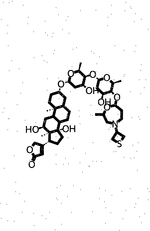 CC1CN(C2CSC2)CCC(O[C@@H]2[C@H](C)O[C@@H](O[C@@H]3[C@H](C)O[C@@H](O[C@H]4CC[C@@]5(C)C(CCC6C5C[C@H](O)[C@]5(C)[C@@H](C7=CC(=O)OC7)CC[C@]65O)C4)C[C@@H]3O)C[C@@H]2O)O1